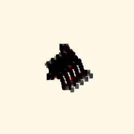 CCCCCCC[C@H]1CC[C@H](C2CCC(C(=O)Oc3ccc([S])cc3)CC2)CC1.CCCCCCC[C@H]1CC[C@H](C2CCC(C(=O)Oc3ccc([S])cc3)CC2)CC1.CCCCCCC[C@H]1CC[C@H](C2CCC(C(=O)Oc3ccc([S])cc3)CC2)CC1.CCCCCCC[C@H]1CC[C@H](C2CCC(C(=O)Oc3ccc([S])cc3)CC2)CC1.CCCCCCC[C@H]1CC[C@H](C2CCC(C(=O)Oc3ccc([S])cc3)CC2)CC1.F.F.F.F.F